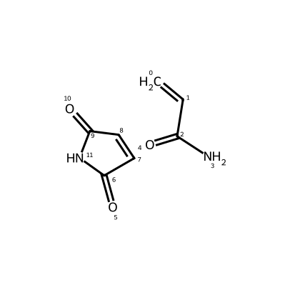 C=CC(N)=O.O=C1C=CC(=O)N1